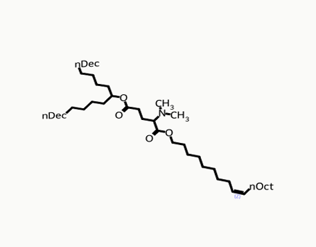 CCCCCCCC/C=C\CCCCCCCCOC(=O)C(CCC(=O)OC(CCCCCCCCCCCCCC)CCCCCCCCCCCCCC)N(C)C